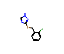 Brc1ccccc1CSc1nc[nH]n1